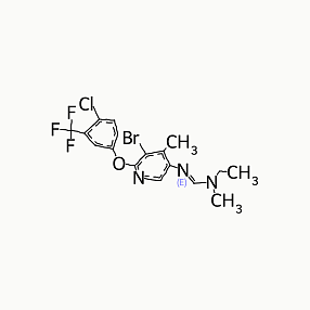 CCN(C)/C=N/c1cnc(Oc2ccc(Cl)c(C(F)(F)F)c2)c(Br)c1C